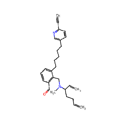 C#Cc1ccc(CCCCCc2cccc(C=O)c2CN(C)C(C=C)CCC=C)cn1